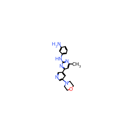 Cc1cc(-c2cncc(N3CCOCC3)c2)nc(Nc2cccc(N)c2)n1